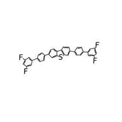 Fc1cc(F)cc(-c2ccc(-c3ccc4c(c3)sc3cc(-c5ccc(-c6cc(F)cc(F)c6)cc5)ccc34)cc2)c1